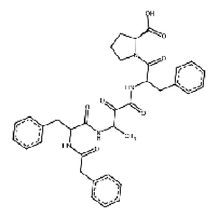 CC(NC(=O)C(Cc1ccccc1)NC(=O)Cc1ccccc1)C(=O)C(=O)NC(Cc1ccccc1)C(=O)N1CCC[C@H]1C(=O)O